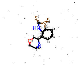 S=C1Nc2c(C3COCC=N3)cccc2S1=S